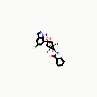 O=C(N[C@H]1[C@@H]2C[C@](O)(c3cc(Cl)cc4cn[nH]c34)C[C@@H]21)c1ccccc1